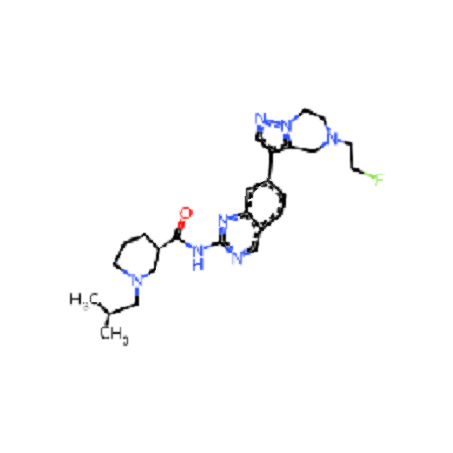 CC(C)CN1CCC[C@@H](C(=O)Nc2ncc3ccc(-c4cnn5c4CN(CCF)CC5)cc3n2)C1